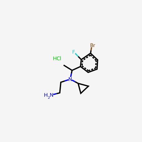 CC(c1cccc(Br)c1F)N(CCN)C1CC1.Cl